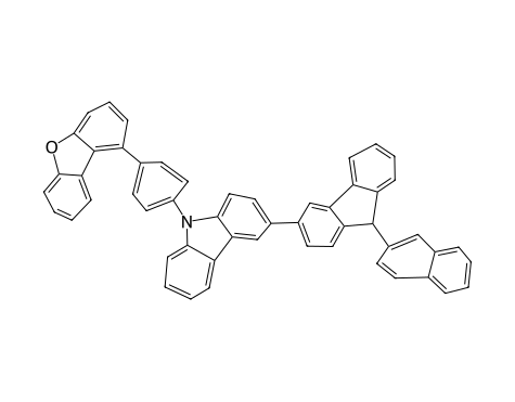 c1ccc2c(c1)-c1cc(-c3ccc4c(c3)c3ccccc3n4-c3ccc(-c4cccc5oc6ccccc6c45)cc3)ccc1C2c1ccc2ccccc2c1